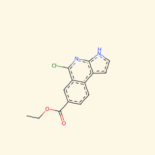 CCOC(=O)c1ccc2c(c1)c(Cl)nc1[nH]ccc12